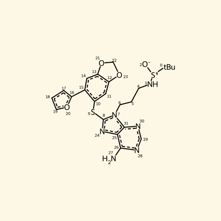 CC(C)(C)[S+]([O-])NCCCn1c(Sc2cc3c(cc2-c2ccco2)OCO3)nc2c(N)ncnc21